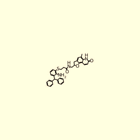 Cc1cc2c(c3ccc(=O)[nH]c13)OC(CNC(=O)CCSc1cccc(C(c3ccccc3)c3ccccc3)c1N)C2